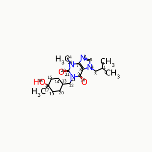 CC(C)Cn1cnc2c1c(=O)n(CC1CCC(C)(O)CC1)c(=O)n2C